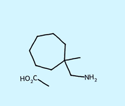 CC(=O)O.CC1(CN)CCCCCC1